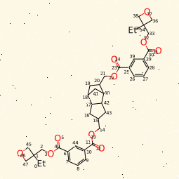 CCC1(COC(=O)c2cccc(C(=O)OCC3CC4C5CC(COC(=O)c6cccc(C(=O)OCC7(CC)COC7)c6)C(C5)C4C3)c2)COC1